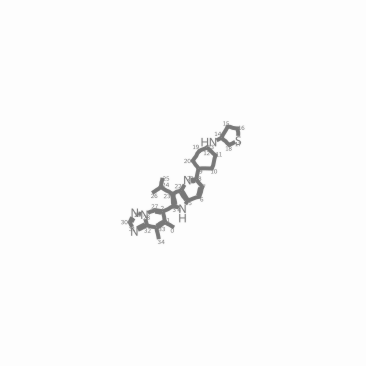 Cc1c(-c2[nH]c3ccc(C4CCC(NC5CCSC5)CC4)nc3c2C(C)C)cn2ncnc2c1C